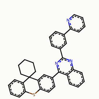 c1ccc(-c2cccc(-c3nc(-c4ccc5c(c4)C4(CCCCC4)c4ccccc4S5)c4ccccc4n3)c2)nc1